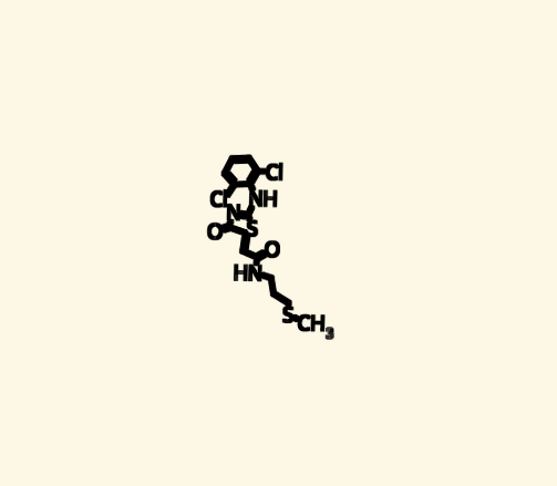 CSCCCNC(=O)/C=C1\SC(Nc2c(Cl)cccc2Cl)=NC1=O